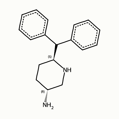 N[C@@H]1CC[C@@H](C(c2ccccc2)c2ccccc2)NC1